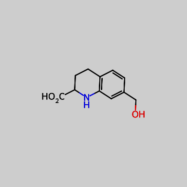 O=C(O)C1CCc2ccc(CO)cc2N1